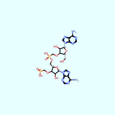 Nc1ncnc2c1ncn2[C@@H]1O[C@H](CO)C(OCP(=O)(O)OC[C@H]2O[C@@H](n3cnc4c(N)ncnc43)C(O)C2OC[PH](=O)O)C1O